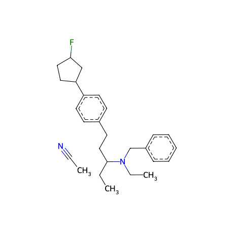 CC#N.CCC(CCc1ccc(C2CCC(F)C2)cc1)N(CC)Cc1ccccc1